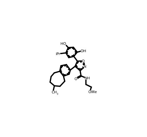 COCCNC(=O)c1noc(-c2cc(C(C)C)c(O)cc2O)c1-c1ccc2c(c1)CCC(C)CCC2